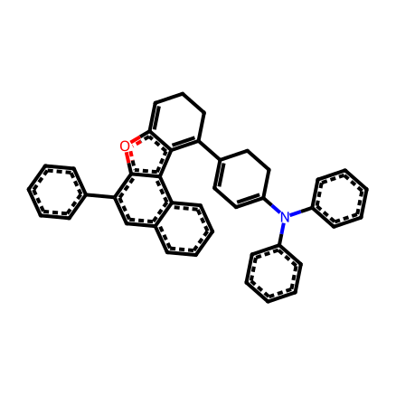 C1=C(C2=c3c(oc4c(-c5ccccc5)cc5ccccc5c34)=CCC2)CCC(N(c2ccccc2)c2ccccc2)=C1